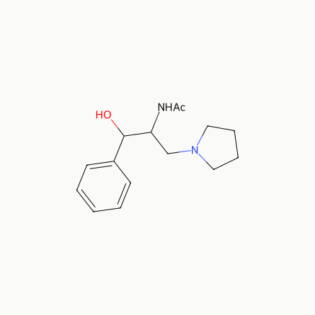 CC(=O)NC(CN1CCCC1)C(O)c1ccccc1